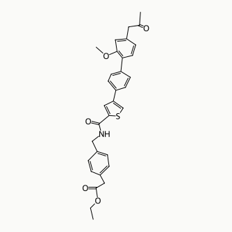 CCOC(=O)Cc1ccc(CNC(=O)c2cc(-c3ccc(-c4ccc(CC(C)=O)cc4OC)cc3)cs2)cc1